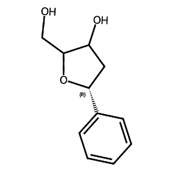 OCC1O[C@@H](c2ccccc2)CC1O